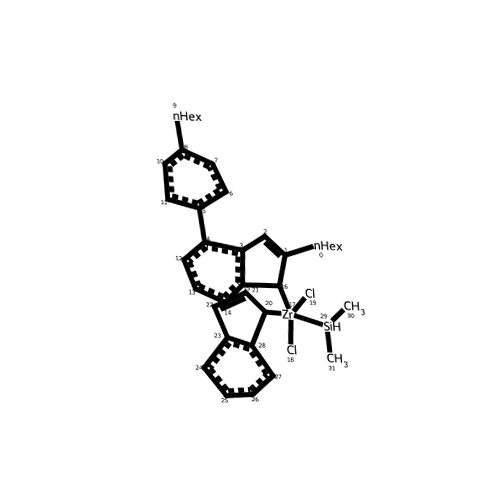 CCCCCCC1=Cc2c(-c3ccc(CCCCCC)cc3)cccc2[CH]1[Zr]([Cl])([Cl])([CH]1C=Cc2ccccc21)[SiH](C)C